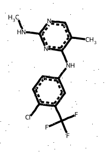 CNc1ncc(C)c(Nc2ccc(Cl)c(C(F)(F)F)c2)n1